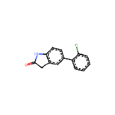 O=C1Cc2cc(-c3ccccc3Cl)ccc2N1